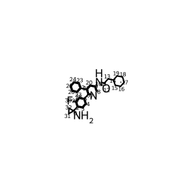 NC1(c2ccc(-c3ncc(NC(=O)CC4CC[CH]CC4)cc3-c3ccccc3)cc2F)CC1